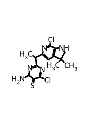 CC(C1=NC(N)C(=S)C(Cl)=N1)c1cc2c(c(Cl)n1)NCC2(C)C